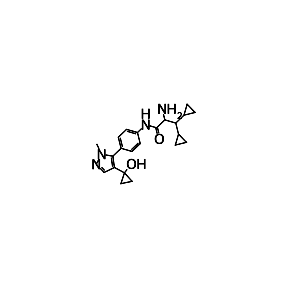 Cn1ncc(C2(O)CC2)c1-c1ccc(NC(=O)C(N)C(C2CC2)C2CC2)cc1